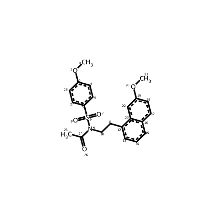 COc1ccc(S(=O)(=O)N(CCc2cccc3ccc(OC)cc23)C(C)=O)cc1